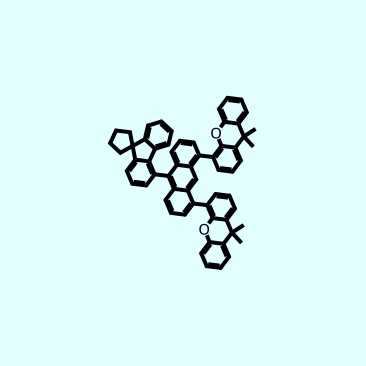 CC1(C)c2ccccc2Oc2c(-c3cccc4c(-c5cccc6c5-c5ccccc5C65CCCC5)c5cccc(-c6cccc7c6Oc6ccccc6C7(C)C)c5cc34)cccc21